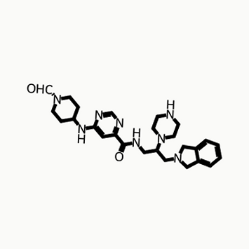 O=CN1CCC(Nc2cc(C(=O)NCC(CN3Cc4ccccc4C3)N3CCNCC3)ncn2)CC1